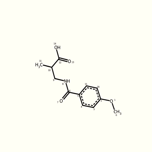 COc1ccc(C(=O)NCC(C)C(=O)O)cc1